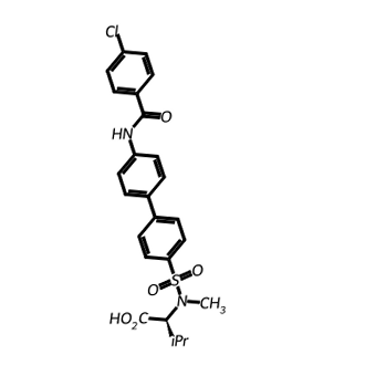 CC(C)[C@@H](C(=O)O)N(C)S(=O)(=O)c1ccc(-c2ccc(NC(=O)c3ccc(Cl)cc3)cc2)cc1